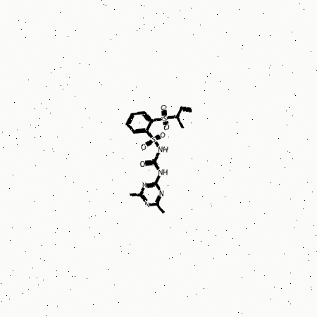 C=CC(C)S(=O)(=O)c1ccccc1S(=O)(=O)NC(=O)Nc1nc(C)nc(C)n1